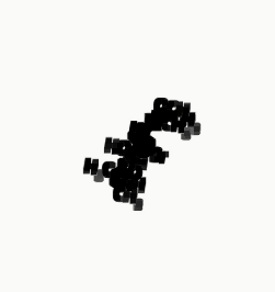 Cc1cc(C)c(CNC(O)c2cc(Br)cc3c2cnn3C2CN(C(=O)C(C)(C)C)C2)c(=O)[nH]1